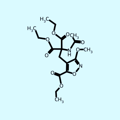 CCOC(=O)c1onc(OC)c1CC(NC(C)=O)(C(=O)OCC)C(=O)OCC